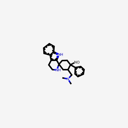 CN(C)CC1CC2(CCC1(N=O)c1ccccc1)NCCc1c2[nH]c2ccccc12